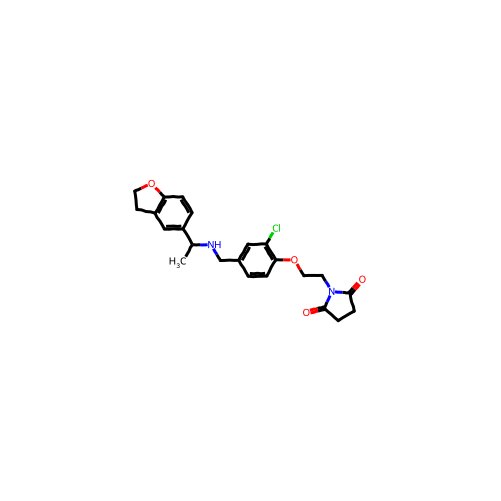 CC(NCc1ccc(OCCN2C(=O)CCC2=O)c(Cl)c1)c1ccc2c(c1)CCO2